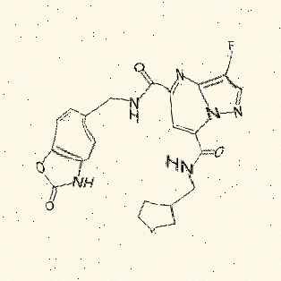 O=C(NCc1ccc2oc(=O)[nH]c2c1)c1cc(C(=O)NCC2CCCC2)n2ncc(F)c2n1